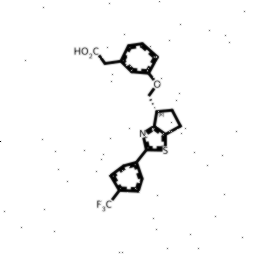 O=C(O)Cc1cccc(OC[C@@H]2CCc3sc(-c4ccc(C(F)(F)F)cc4)nc32)c1